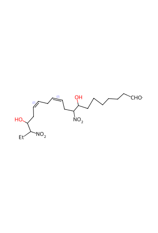 CCC(C(O)C/C=C\C/C=C\CC(C(O)CCCCCC[C]=O)[N+](=O)[O-])[N+](=O)[O-]